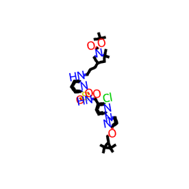 CC(C)(C)OC(=O)N1CC(CCCNc2cccc(S(=O)(=O)NC(=O)c3ccc(-n4ccc(OCC5C(C)(C)C5(C)C)n4)nc3Cl)n2)CC1(C)C